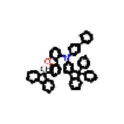 CC1(c2cccc3c2oc2cccc(N(c4ccc(-c5ccccc5)cc4)c4ccc5c(c4)C(c4ccccc4)(c4ccccc4)c4ccccc4-5)c23)c2ccccc2-c2ccccc21